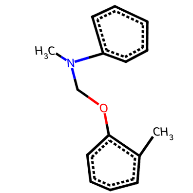 Cc1ccccc1OCN(C)c1ccccc1